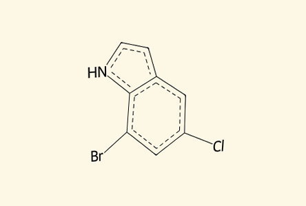 Clc1cc(Br)c2[nH]ccc2c1